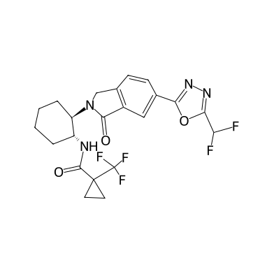 O=C1c2cc(-c3nnc(C(F)F)o3)ccc2CN1[C@@H]1CCCC[C@H]1NC(=O)C1(C(F)(F)F)CC1